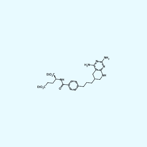 CCOC(=O)CC[C@H](NC(=O)c1ccc(CCCC2CNc3nc(N)nc(N)c3C2)cc1)C(=O)OCC